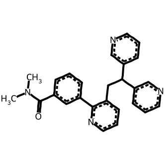 CN(C)C(=O)c1cccc(-c2ncccc2CC(c2cccnc2)c2cccnc2)c1